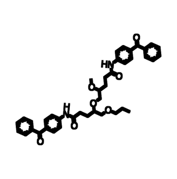 CCCOCC(CCC(=O)Nc1ccc(C(=O)c2ccccc2)cc1)OCC(CCC(=O)Nc1ccc(C(=O)c2ccccc2)cc1)OC